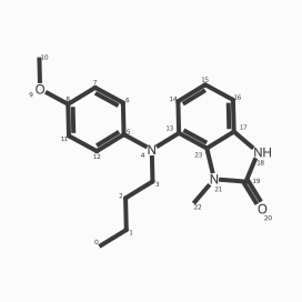 CCCCN(c1ccc(OC)cc1)c1cccc2[nH]c(=O)n(C)c12